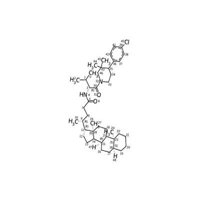 CC(C)[C@@H](NC(=O)CC[C@@H](C)[C@H]1CCC2[C@@H]3CC[C@@H]4CCCC[C@]4(C)C3CC[C@@]21C)C(=O)N1CCC(c2ccc(Cl)cc2)C(C)(C)C1